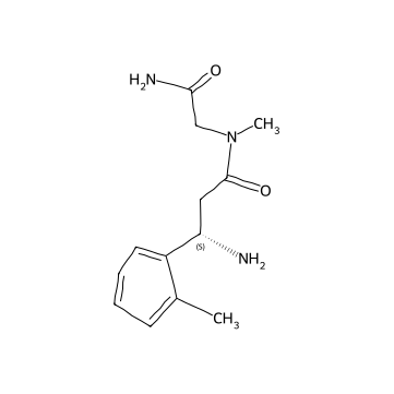 Cc1ccccc1[C@@H](N)CC(=O)N(C)CC(N)=O